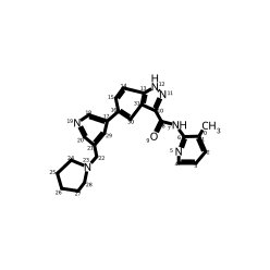 Cc1cccnc1NC(=O)c1n[nH]c2ccc(-c3cncc(CN4CCCCC4)c3)cc12